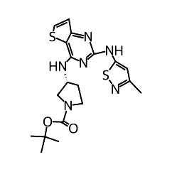 Cc1cc(Nc2nc(N[C@@H]3CCN(C(=O)OC(C)(C)C)C3)c3sccc3n2)sn1